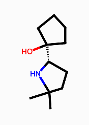 CC1(C)CC[C@@H](C2(O)CCCC2)N1